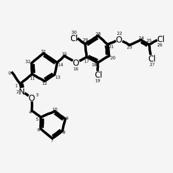 CC(=NOCc1ccccc1)c1ccc(COc2c(Cl)cc(OCC=C(Cl)Cl)cc2Cl)cc1